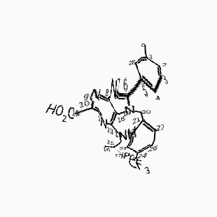 Cc1cccc(-c2nc3nc(C(=O)O)nc(N[C@@H](C)C(C)C)c3n2Cc2ccc(C(F)(F)F)cc2)c1